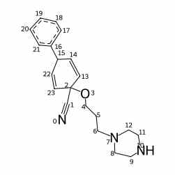 N#CC1(OCCCN2CCNCC2)C=CC(c2ccccc2)C=C1